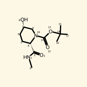 CNC(=O)[C@@H]1CC[C@H](O)CN1C(=O)OC(C)(C)C